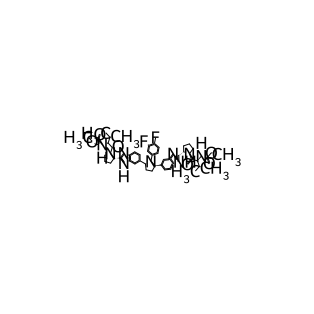 COC(=O)N[C@H](C(=O)N1CCC[C@H]1c1nc2cc([C@H]3CCC(c4ccc5nc([C@@H]6CCCN6C(=O)[C@@H](NC(=O)OC)C(C)C)[nH]c5c4)N3c3ccc(F)c(F)c3)ccc2[nH]1)C(C)C